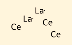 [Ce].[Ce].[Ce].[La].[La]